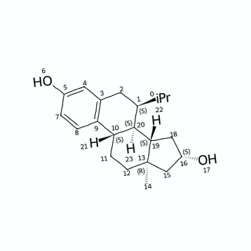 CC(C)[C@@H]1Cc2cc(O)ccc2[C@H]2CC[C@]3(C)C[C@@H](O)C[C@H]3[C@@H]21